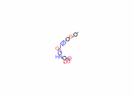 COc1cc(NC2CCN(C(=O)CCN3CCN(c4ccc(OCc5ccc(C)cc5)cc4)CC3)CC2)ccc1[N+](=O)[O-]